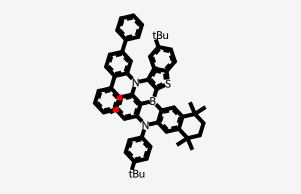 Cc1cc2c3c(c1)N(c1cc(-c4ccccc4)ccc1-c1ccccc1)c1c(sc4ccc(C(C)(C)C)cc14)B3c1cc3c(cc1N2c1ccc(C(C)(C)C)cc1)C(C)(C)CCC3(C)C